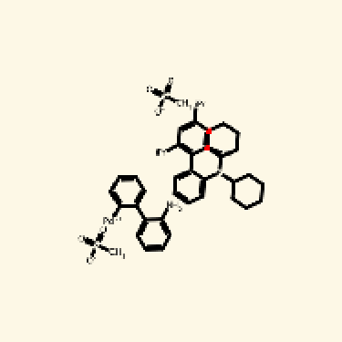 CC(C)c1cc(C(C)C)c(-c2ccccc2P(C2CCCCC2)C2CCCCC2)c(C(C)C)c1.CS(=O)(=O)[O-].CS(=O)(=O)[O-].Nc1ccccc1-c1cccc[c]1[Pd+2]